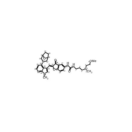 COCCN(C)CCCNC(=O)Nc1ccc2c(c1)C(=O)/C(=C/c1cn(C)c3nccc(N4CC5CCC(C4)O5)c13)O2